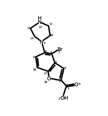 O=C(O)c1cc2c(Br)c(N3CCNCC3)ccc2o1